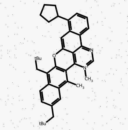 Cc1c2c(c(CC(C)(C)C)c3ccc(CC(C)(C)C)cc13)Oc1cc3c(C4CCCC4)cccc3c3nc[n+](C)c-2c13